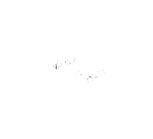 COc1cc(OCc2cccc(OCc3cccc(NC(=O)c4ccccc4)c3)c2)c2cc(-c3cn4nc(OC)sc4n3)oc2c1